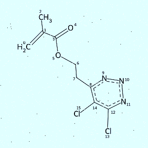 C=C(C)C(=O)OCCc1nnnc(Cl)c1Cl